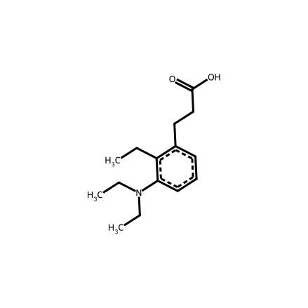 CCc1c(CCC(=O)O)cccc1N(CC)CC